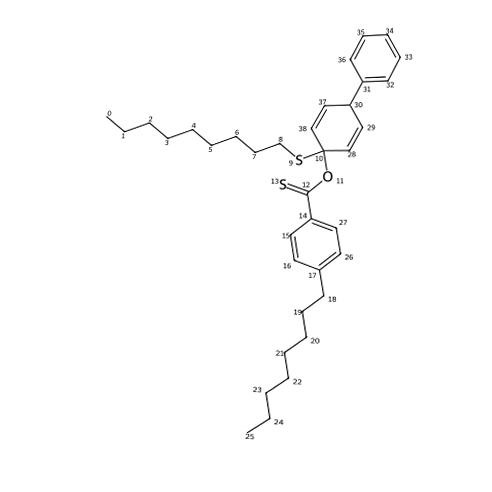 CCCCCCCCCSC1(OC(=S)c2ccc(CCCCCCCC)cc2)C=CC(c2ccccc2)C=C1